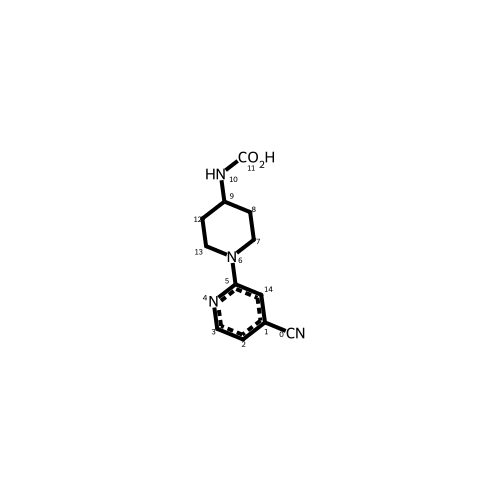 N#Cc1ccnc(N2CCC(NC(=O)O)CC2)c1